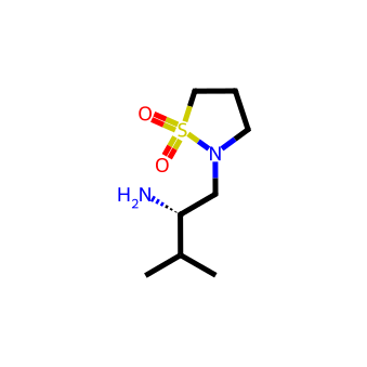 CC(C)[C@H](N)CN1CCCS1(=O)=O